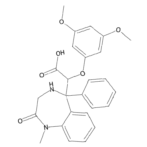 COc1cc(OC)cc(OC(C(=O)O)C2(c3ccccc3)NCC(=O)N(C)c3ccccc32)c1